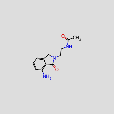 CC(=O)NCCN1Cc2cccc(N)c2C1=O